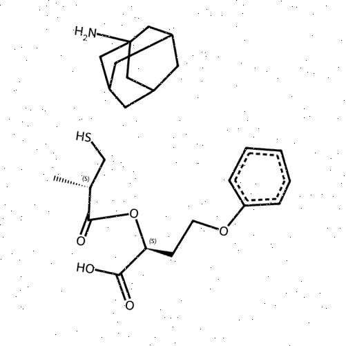 C[C@H](CS)C(=O)O[C@@H](CCOc1ccccc1)C(=O)O.NC12CC3CC(CC(C3)C1)C2